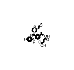 COCC[C@H]1CN(C2=Nc3cc(F)ccc3Nc3ccc(C(C)C)cc32)CCN1C.O=C(O)CCC(=O)O